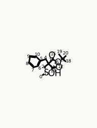 CSCC(Cc1ccccc1)(C(=O)O)C(=O)OC(C)(C)C